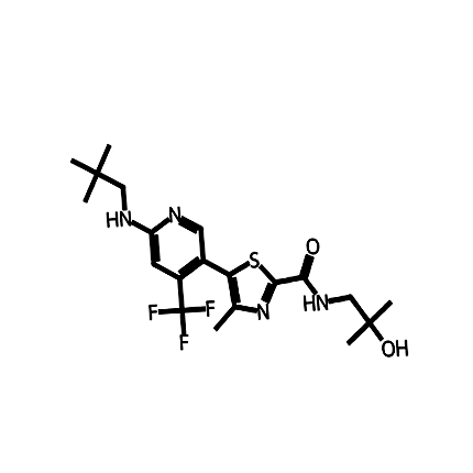 Cc1nc(C(=O)NCC(C)(C)O)sc1-c1cnc(NCC(C)(C)C)cc1C(F)(F)F